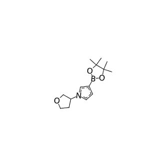 CC1(C)OB(c2ccn(C3CCOC3)c2)OC1(C)C